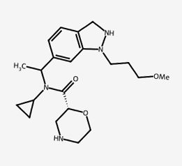 COCCCN1NCc2ccc(C(C)N(C(=O)[C@H]3CNCCO3)C3CC3)cc21